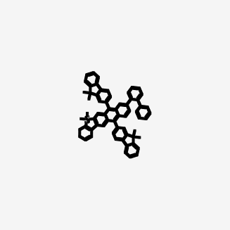 CC1(C)c2ccccc2-c2ccc(-c3c4ccc(-c5ccccc5-c5ccccc5)cc4c(-c4ccc5c(c4)C(C)(C)c4ccccc4-5)c4cc5c(cc34)C3=C(CCC=C3)S5(C)C)cc21